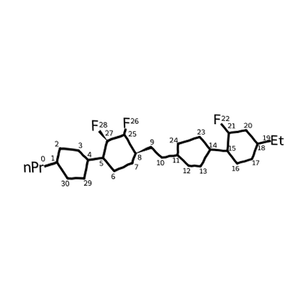 CCCC1CCC(C2CC[C@H](CCC3CCC(C4CCC(CC)CC4F)CC3)C(F)[C@@H]2F)CC1